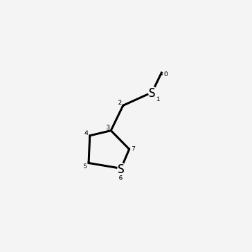 [CH2]SCC1CCSC1